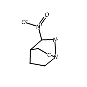 O=[N+]([O-])C1[N]N2CCC1CC2